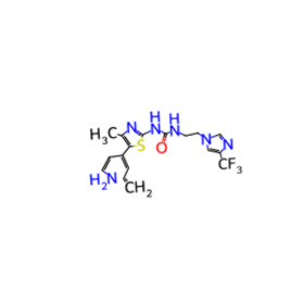 C=C/C=C(\C=C/N)c1sc(NC(=O)NCCn2cnc(C(F)(F)F)c2)nc1C